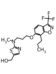 CCCc1c(OCCCN(C)c2ncc(CO)s2)ccc2c(C(F)(F)F)noc12